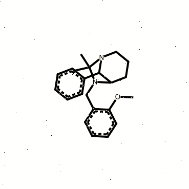 COc1ccccc1CN1C2CCCN(C2c2ccccc2)C1(C)C